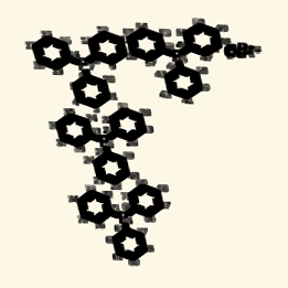 [Br-].[Br-].[Cu+2].c1ccc(P(c2ccccc2)c2ccccc2)cc1.c1ccc(P(c2ccccc2)c2ccccc2)cc1.c1ccc(P(c2ccccc2)c2ccccc2)cc1.c1ccc(P(c2ccccc2)c2ccccc2)cc1